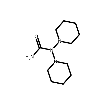 NC(=O)N(N1CCCCC1)N1CCCCC1